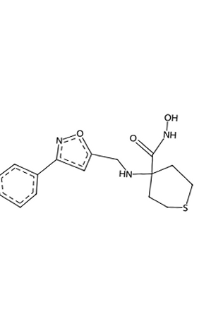 O=C(NO)C1(NCc2cc(-c3ccccc3)no2)CCSCC1